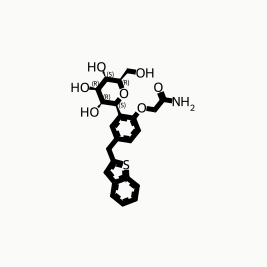 NC(=O)COc1ccc(Cc2cc3ccccc3s2)cc1[C@@H]1O[C@H](CO)[C@@H](O)[C@H](O)[C@H]1O